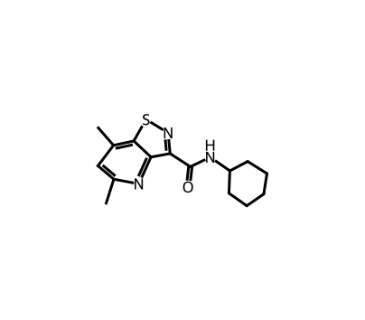 Cc1cc(C)c2snc(C(=O)NC3CCCCC3)c2n1